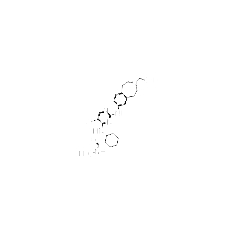 CCN1CCc2ccc(Nc3ncc(Cl)c(N[C@@H]4CCCC[C@@H]4C(=O)NC)n3)cc2CC1